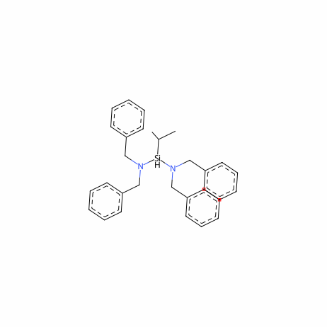 CC(C)[SiH](N(Cc1ccccc1)Cc1ccccc1)N(Cc1ccccc1)Cc1ccccc1